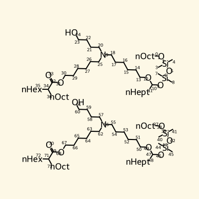 CCCCCCCCO[Si](C)(C)O[Si](C)(C)OC(CCCCCCC)OCCCCCCN(CCCCO)CCCCCCOC(=O)C(CCCCCC)CCCCCCCC.CCCCCCCCO[Si](C)(C)O[Si](C)(C)OC(CCCCCCC)OCCCCCCN(CCCCO)CCCCCCOC(=O)C(CCCCCC)CCCCCCCC